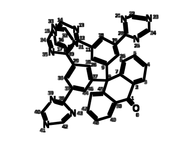 O=C1c2ccccc2C(c2cc(-c3ncncn3)cc(-c3ncncn3)c2)(c2cc(-c3ncncn3)cc(-c3ncncn3)c2)c2ccccc21